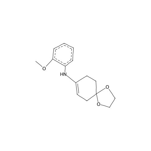 COc1ccccc1NC1=CCC2(CC1)OCCO2